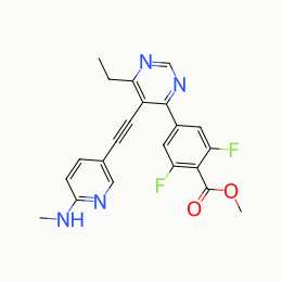 CCc1ncnc(-c2cc(F)c(C(=O)OC)c(F)c2)c1C#Cc1ccc(NC)nc1